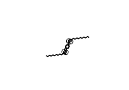 CCCCCCCCCCC1COB(c2ccc(B3OCC(CCCCCCCCCC)O3)cc2)O1